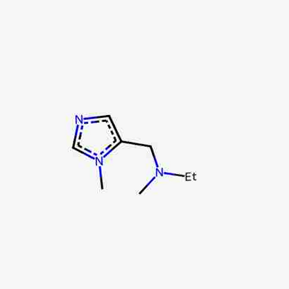 CCN(C)Cc1cncn1C